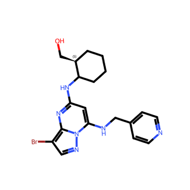 OC[C@H]1CCCCC1Nc1cc(NCc2ccncc2)n2ncc(Br)c2n1